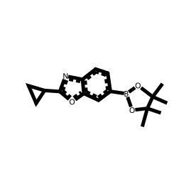 CC1(C)OB(c2ccc3nc(C4CC4)oc3c2)OC1(C)C